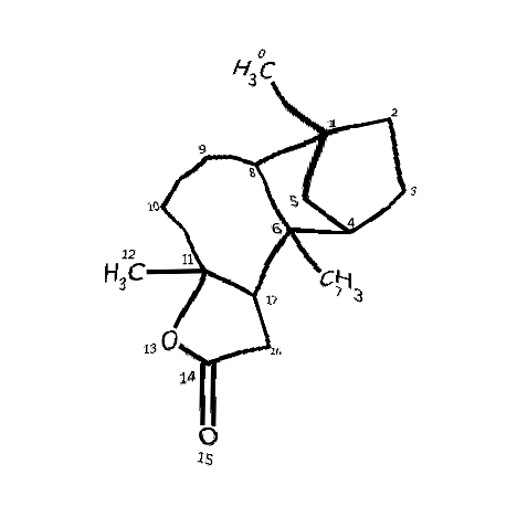 CC12CCC(C1)C1(C)C2CCC2(C)OC(=O)CC21